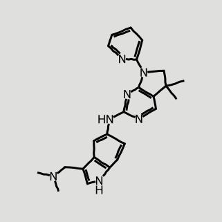 CN(C)Cc1c[nH]c2ccc(Nc3ncc4c(n3)N(c3ccccn3)CC4(C)C)cc12